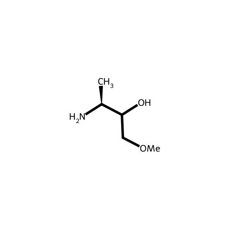 COCC(O)[C@H](C)N